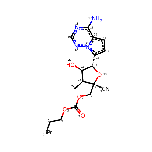 CC(C)CCOC(=O)OC[C@@]1(C#N)O[C@@H](c2ccc3c(N)ncnn23)[C@H](O)[C@@H]1C